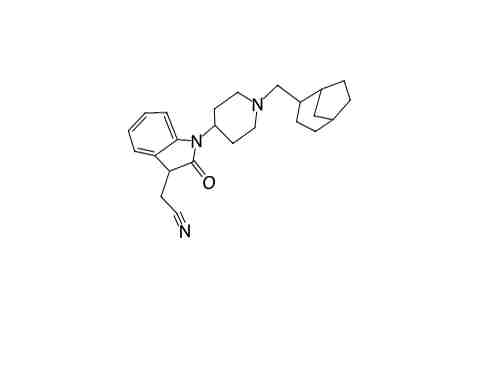 N#CCC1C(=O)N(C2CCN(CC3CCC4CCC3C4)CC2)c2ccccc21